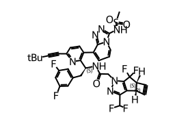 CC(C)(C)C#Cc1ccc(-c2cccn3c(NS(C)(=O)=O)nnc23)c([C@H](Cc2cc(F)cc(F)c2)NC(=O)Cn2nc(C(F)F)c3c2C(F)(F)[C@@H]2C#C[C@H]32)n1